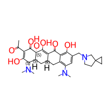 CC(=O)C1=C(O)[C@@H](N(C)C)[C@@H]2C[C@@H]3Cc4c(N(C)C)cc(CN5CCC6(CC6)C5)c(O)c4C(=O)C3=C(O)[C@]2(O)C1=O